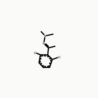 CC(=NN(C)C)c1c(Cl)cccc1Cl